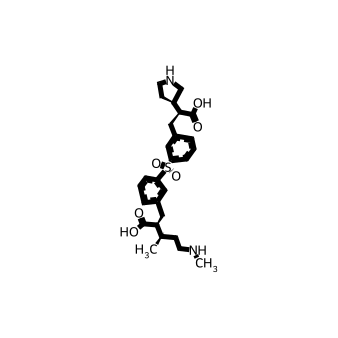 CNCC[C@@H](C)[C@H](Cc1cccc(S(=O)(=O)c2cccc(C[C@H](C(=O)O)[C@H]3CCNC3)c2)c1)C(=O)O